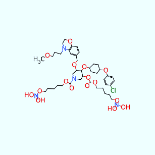 COCCCN1CCOc2ccc(COC3CN(C(=O)OCCCCCON(O)O)CC(OC(=O)OCCCCCON(O)O)C3OC3CCC(Oc4ccc(Cl)cc4)CC3)cc21